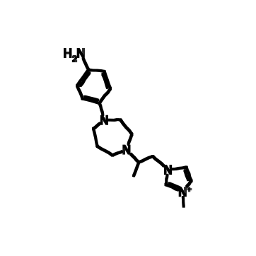 CC(Cn1cc[n+](C)c1)N1CCCN(c2ccc(N)cc2)CC1